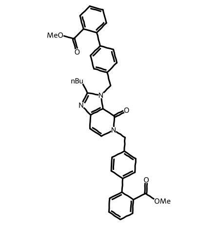 CCCCc1nc2ccn(Cc3ccc(-c4ccccc4C(=O)OC)cc3)c(=O)c2n1Cc1ccc(-c2ccccc2C(=O)OC)cc1